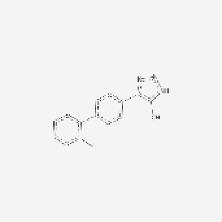 Cc1ccccc1-c1ccc(-c2nn[nH]c2C#N)cc1